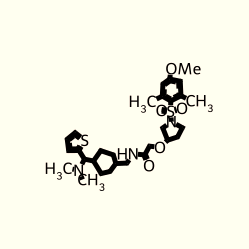 COc1cc(C)c(S(=O)(=O)N2CCC(OCC(=O)NCC3CCC(C(c4cccs4)N(C)C)CC3)C2)c(C)c1